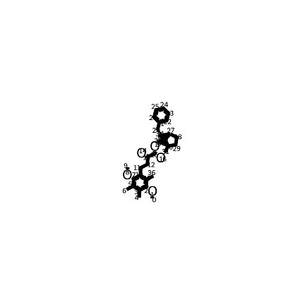 COc1c(C)c(C)c(OC)c(CCC(=O)C(=O)O[C@H]2[C@@H](Cc3ccccc3)C3CCC2(C)C3(C)C)c1C